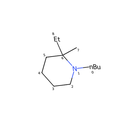 CCCCN1CCCCC1(C)CC